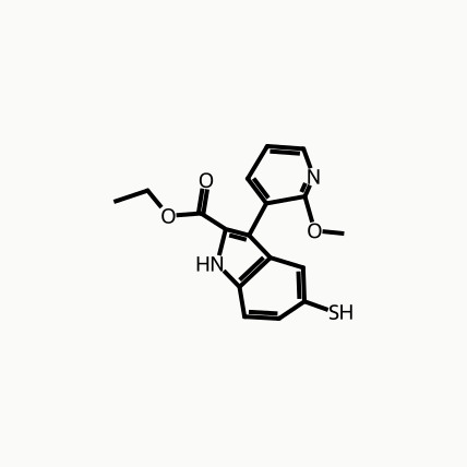 CCOC(=O)c1[nH]c2ccc(S)cc2c1-c1cccnc1OC